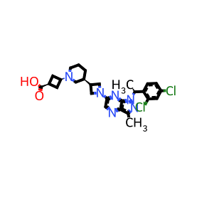 Cc1nn([C@H](C)c2ccc(Cl)cc2Cl)c2nc(N3CC([C@@H]4CCCN([C@H]5C[C@H](C(=O)O)C5)C4)C3)cnc12